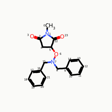 CN1C(=O)CC(ON(Cc2ccccc2)Cc2ccccc2)C1=O